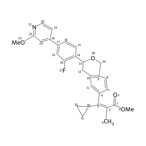 COC(=O)/C(C)=C(\c1ccc2c(c1)CC(c1ccc(-c3ccnc(OC)c3)cc1F)OC2)C1CC1